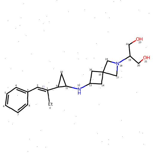 CC/C(=C\c1ccccc1)C1CC1NC1CC2(C1)CN(C(CO)CO)C2